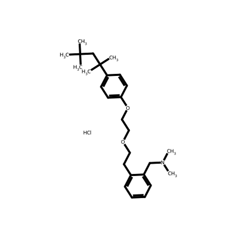 CN(C)Cc1ccccc1CCOCCOc1ccc(C(C)(C)CC(C)(C)C)cc1.Cl